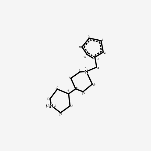 c1ccc(CN2CCC(C3CCNCC3)CC2)cc1